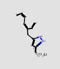 C=C/C(=C\C=C/C)Cc1cc(C(=O)OCC)n[nH]1